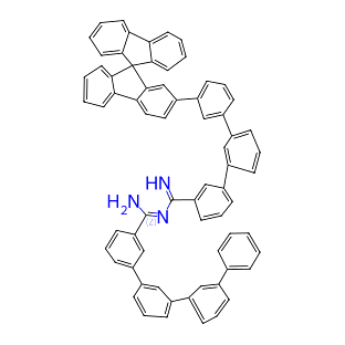 N=C(/N=C(\N)c1cccc(-c2cccc(-c3cccc(-c4ccccc4)c3)c2)c1)c1cccc(-c2cccc(-c3cccc(-c4ccc5c(c4)C4(c6ccccc6-c6ccccc64)c4ccccc4-5)c3)c2)c1